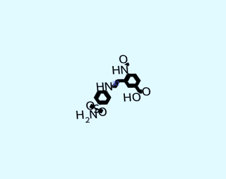 NS(=O)(=O)c1ccc(N/C=C/c2cc(C(=O)O)ccc2NC=O)cc1